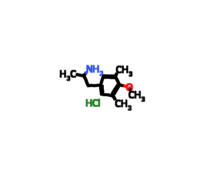 COc1c(C)cc(CC(C)N)cc1C.Cl